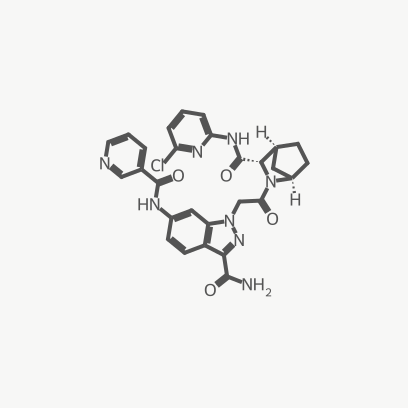 NC(=O)c1nn(CC(=O)N2[C@@H]3CC[C@@H](C3)[C@H]2C(=O)Nc2cccc(Cl)n2)c2cc(NC(=O)c3cccnc3)ccc12